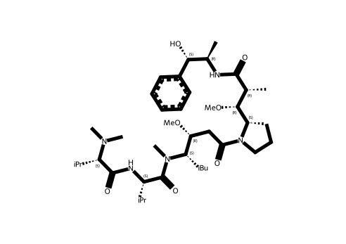 CCC(C)[C@@H]([C@@H](CC(=O)N1CCC[C@H]1[C@H](OC)[C@@H](C)C(=O)N[C@H](C)[C@@H](O)c1ccccc1)OC)N(C)C(=O)[C@@H](NC(=O)[C@H](C(C)C)N(C)C)C(C)C